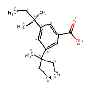 CCC(C)(C)c1cc(C(=O)O)cc(C(C)(CC)CC)c1